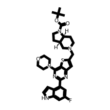 CC(C)(C)OC(=O)N1CC[C@@H]2CN(Cc3cc4nc(-c5cc(F)cc6[nH]ccc56)nc(N5CCOCC5)c4s3)CC[C@@H]21